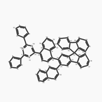 c1ccc(-c2nc(-c3ccccc3)nc(-c3ccc(-c4cc5c(cc4-c4ccc6ccccc6c4)-c4ccccc4C54c5ccccc5-c5ccccc54)c4ccccc34)n2)cc1